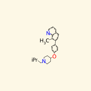 Cc1c(-c2ccc(OC3CCN(CC(C)C)CC3)cc2)ccc2cccnc12